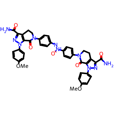 COc1ccc(-n2nc(C(N)=O)c3c2C(=O)N(c2ccc(N=[N+]([O-])c4ccc(N5CCc6c(C(N)=O)nn(-c7ccc(OC)cc7)c6C5=O)cc4)cc2)CC3)cc1